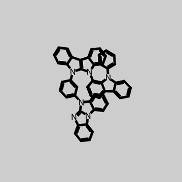 c1ccc(-n2c3ccccc3c3cccc(-n4c5ccccc5c5c6ccccc6n(-c6cccc(-n7c8ccccc8n8c9ccccc9nc78)c6)c54)c32)cc1